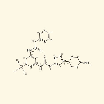 NC1CCC([n+]2cc([N-]C(=O)Nc3cc(NC(=O)Cc4ccccc4)cc(C(F)(F)F)c3)on2)CC1